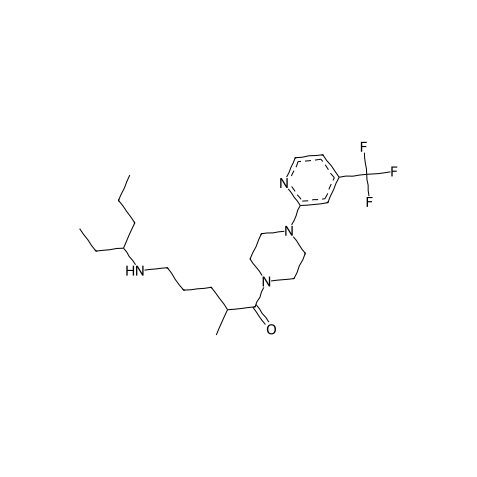 CCCC(CC)NCCCC(C)C(=O)N1CCN(c2cc(C(F)(F)F)ccn2)CC1